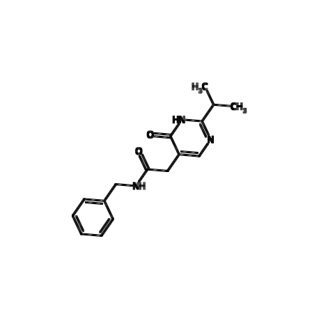 CC(C)c1ncc(CC(=O)NCc2ccccc2)c(=O)[nH]1